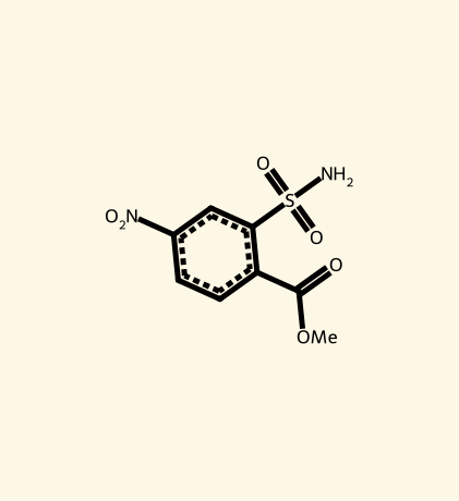 COC(=O)c1ccc([N+](=O)[O-])cc1S(N)(=O)=O